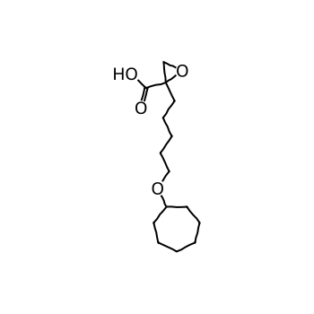 O=C(O)C1(CCCCCOC2CCCCCC2)CO1